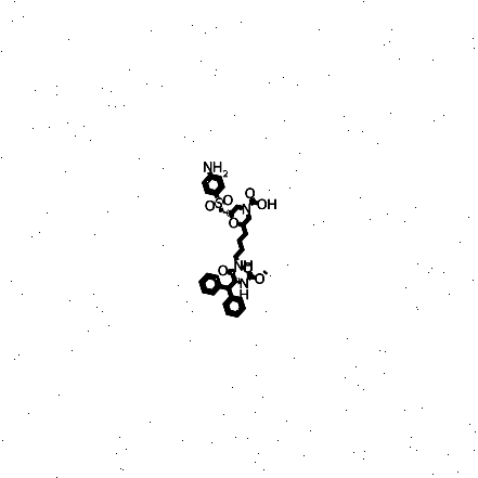 COC(=O)N[C@H](C(=O)NCCCCC1CN(C(=O)O)C[C@@H](CS(=O)(=O)c2ccc(N)cc2)O1)C(c1ccccc1)c1ccccc1